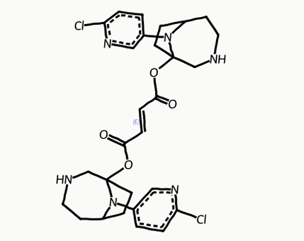 O=C(/C=C/C(=O)OC12CCC(CCNC1)N2c1ccc(Cl)nc1)OC12CCC(CCNC1)N2c1ccc(Cl)nc1